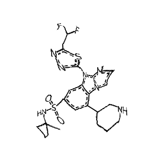 CC1(NS(=O)(=O)c2cc(C3CCCNC3)c3c(c2)n(-c2nnc(C(F)F)s2)c2nccn32)CC1